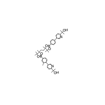 Cc1cc(B2OC(C)(C)C(C)(CCC3(C)OB(c4ccc(-c5ccc(C(C)(C)O)nc5)cc4)OC3(C)C)O2)ccc1-c1ccc(C(C)(C)O)nc1